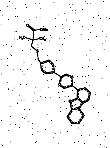 COC(=O)C(C)(C)CSCc1ccc(-c2ccc(-c3cccc4c3oc3ccccc34)cc2)cc1